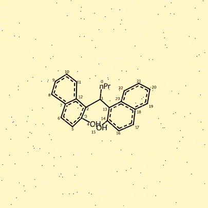 CCCC(c1c(O)ccc2ccccc12)c1c(O)ccc2ccccc12